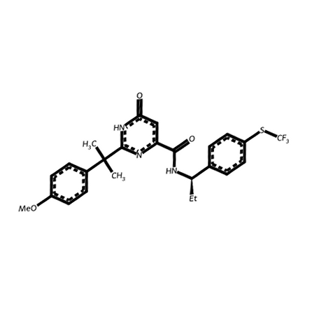 CC[C@@H](NC(=O)c1cc(=O)[nH]c(C(C)(C)c2ccc(OC)cc2)n1)c1ccc(SC(F)(F)F)cc1